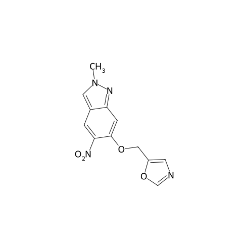 Cn1cc2cc([N+](=O)[O-])c(OCc3cnco3)cc2n1